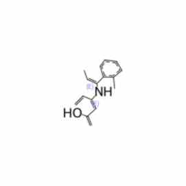 C=C/C(=C\C(=C)O)N/C(=C/C)c1ccccc1C